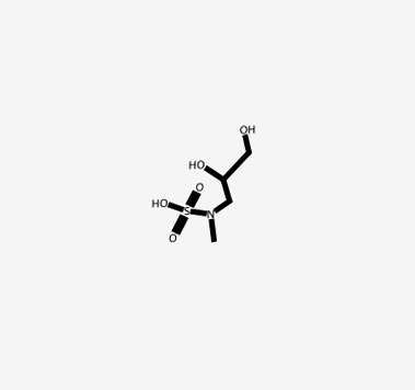 CN(CC(O)CO)S(=O)(=O)O